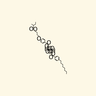 CCCCCCCCc1ccc(C(=O)O[C@@H]2CO[C@H]3[C@@H]2OC[C@@H]3OC(=O)c2ccc(OCCCCOC(=O)C(C)CC)cc2)cc1